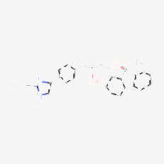 Cn1cc(-c2ccc(C[C@H](O)CCO[Si](c3ccccc3)(c3ccccc3)C(C)(C)C)cc2)nc1C(C)(C)C